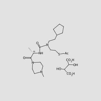 CC(=O)SCCN(CCC1CCCC1)C(=O)N[C@@H](C)C(=O)N1CCN(C)CC1.O=C(O)C(O)C(O)C(=O)O